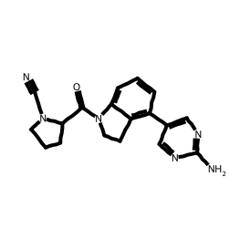 N#CN1CCCC1C(=O)N1CCc2c(-c3cnc(N)nc3)cccc21